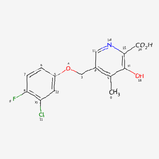 Cc1c(COc2ccc(F)c(Cl)c2)cnc(C(=O)O)c1O